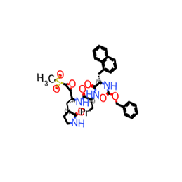 CC(C)C[C@H](NC(=O)[C@H](Cc1cccc2ccccc12)NC(=O)OCc1ccccc1)C(=O)N[C@@H](C[C@@H]1CCNC1=O)C1OC1S(C)(=O)=O